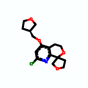 Clc1cc(OC[C@H]2CCOC2)c2c(n1)C1(CCOC1)OCC2